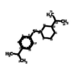 CC(C)c1ccc(SN2CCCC(C(C)C)C2)cc1